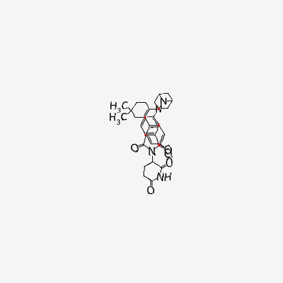 CC1(C)CCC(CN2C3CC2CN(c2ccc4c(c2)C(=O)N(C2CCC(=O)NC2=O)C4=O)C3)=C(c2ccc(Cl)cc2)C1